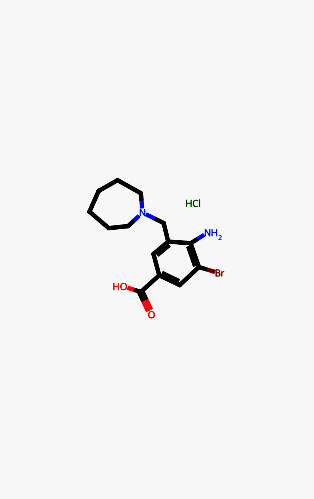 Cl.Nc1c(Br)cc(C(=O)O)cc1CN1CCCCCC1